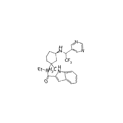 CCN(C(=O)c1cc2ccccc2[nH]1)C1(C)CCC[C@@H](NC(c2cncnc2)C(F)(F)F)C1